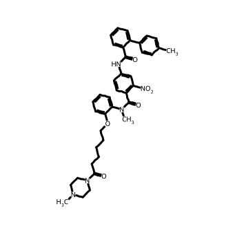 Cc1ccc(-c2ccccc2C(=O)Nc2ccc(C(=O)N(C)c3ccccc3OCCCCCC(=O)N3CCN(C)CC3)c([N+](=O)[O-])c2)cc1